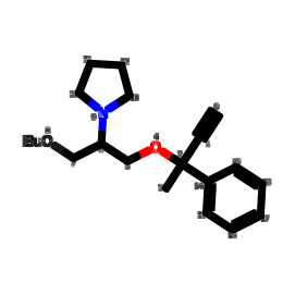 C#CC(C)(OCC(COCC(C)C)N1CCCC1)c1ccccc1